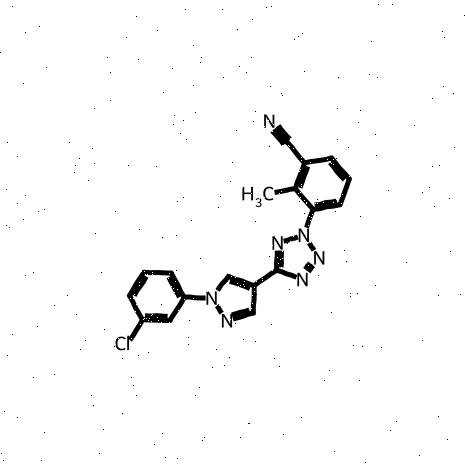 Cc1c(C#N)cccc1-n1nnc(-c2cnn(-c3cccc(Cl)c3)c2)n1